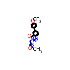 Cc1nc(Cn2nnc3ccc(-c4ccc(OC(F)(F)F)cc4)cc3c2=O)co1